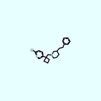 Clc1ccc(C2(CN3CCCC(CCc4ccccc4)C3)CCC2)cc1